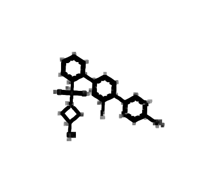 Nc1cnc(-c2ccc(-c3ccccc3S(=O)(=O)N3CC(O)C3)cc2F)cn1